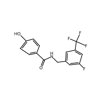 O=C(NCc1cc(F)cc(C(F)(F)F)c1)c1ccc(O)cc1